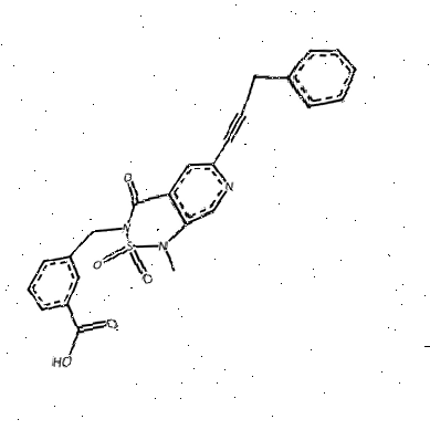 CN1c2cnc(C#CCc3ccccc3)cc2C(=O)N(Cc2cccc(C(=O)O)c2)S1(=O)=O